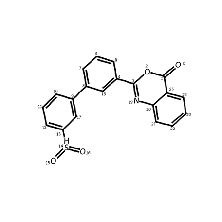 O=c1oc(-c2[c]ccc(-c3cccc([SH](=O)=O)c3)c2)nc2ccccc12